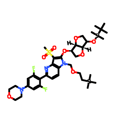 CC(C)(C)[Si](C)(C)OC1CO[C@H]2[C@@H]1OC[C@H]2Oc1c(S(C)(=O)=O)c2nc(-c3c(F)cc(N4CCOCC4)cc3F)ccc2n1COCC[Si](C)(C)C